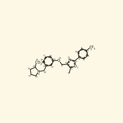 Cc1oc(-c2ccc(C(F)(F)F)cc2)nc1COc1cccc(CN2CCCC2C(=O)O)c1